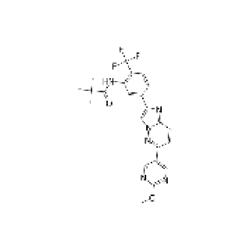 COc1ncc(-c2ccc3nc(-c4ccc(C(F)(F)F)c(NC(=O)C(C)(C)C)c4)cn3n2)cn1